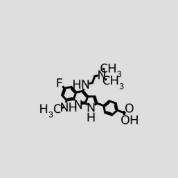 CNc1cc(F)cc2c(NCCN(C)C)c3cc(-c4ccc(C(=O)O)cc4)[nH]c3nc12